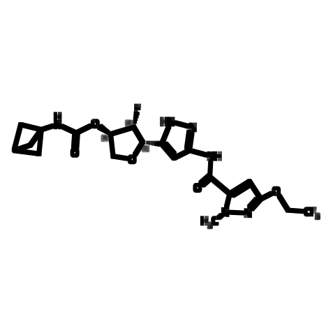 Cn1nc(OCC(F)(F)F)cc1C(=O)Nc1cc([C@@H]2OC[C@@H](OC(=O)NC34CC(C3)C4)[C@@H]2F)[nH]n1